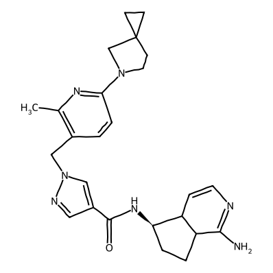 Cc1nc(N2CCC3(CC3)C2)ccc1Cn1cc(C(=O)N[C@@H]2CCC3C(N)=NC=CC32)cn1